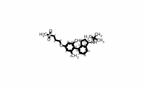 Cc1cc(OCCCS(C)(=O)=O)cc(C)c1-c1cccc2c1CC[C@H]2NC(C)(C)C